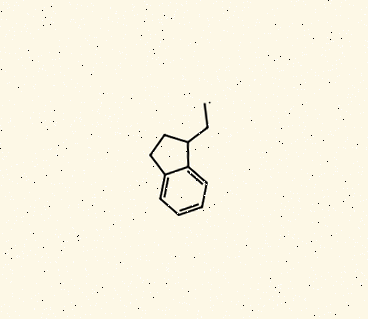 [CH2]CC1CCc2ccccc21